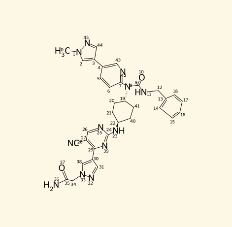 Cn1cc(-c2ccc(N(C(=O)NCc3ccccc3)[C@H]3CC[C@H](Nc4ncc(C#N)c(-c5cnn(CC(N)=O)c5)n4)CC3)nc2)cn1